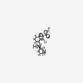 CCOC(=O)c1oc2cccc(CNc3cccnc3)c2c1C